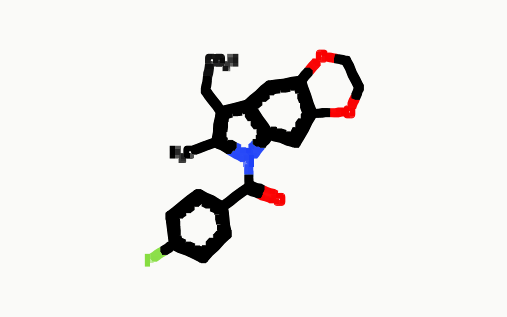 Cc1c(CC(=O)O)c2cc3c(cc2n1C(=O)c1ccc(F)cc1)OCCO3